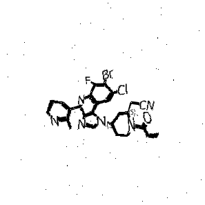 C=CC(=O)N1CC[C@H](n2cnc3c(-c4cccnc4C)nc4c(F)c(Br)c(Cl)cc4c32)C[C@H]1CC#N